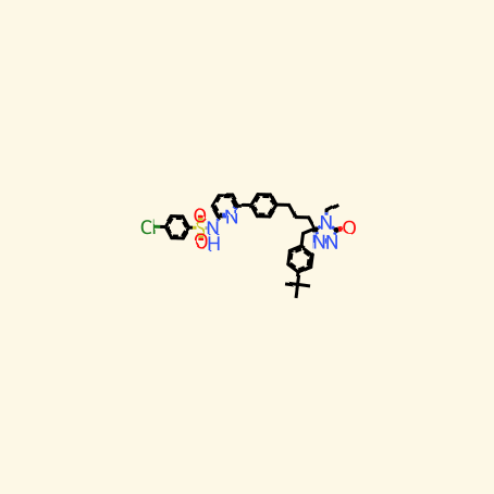 CCN1C(=O)N=NC1(CCCc1ccc(-c2cccc(NS(=O)(=O)c3ccc(Cl)cc3)n2)cc1)Cc1ccc(C(C)(C)C)cc1